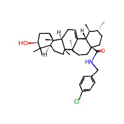 C[C@H]1[C@H](C)CC[C@]2(C(=O)NCc3ccc(Cl)cc3)CC[C@]3(C)C(=CC[C@@H]4[C@@]5(C)CC[C@H](O)C(C)(C)[C@@H]5CC[C@]43C)[C@H]12